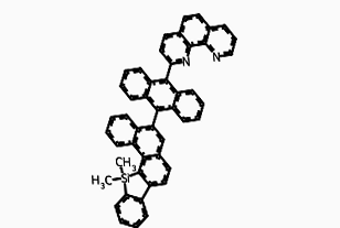 C[Si]1(C)c2ccccc2-c2ccc3cc(-c4c5ccccc5c(-c5ccc6ccc7cccnc7c6n5)c5ccccc45)c4ccccc4c3c21